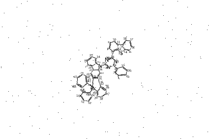 c1ccc(-c2nc(-c3cccc4c3sc3ccccc34)nc(-n3c4ccccc4c4cc5c(cc43)-c3ccccc3C5(c3ccccc3)c3ccccc3)n2)cc1